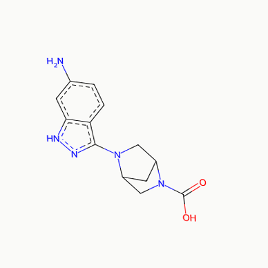 Nc1ccc2c(N3CC4CC3CN4C(=O)O)n[nH]c2c1